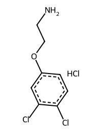 Cl.NCCOc1ccc(Cl)c(Cl)c1